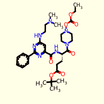 CCOC(=O)ON1CCN(C(=O)[C@H](CCC(=O)OC(C)(C)C)NC(=O)c2cc(NCCN(C)C)nc(-c3ccccc3)n2)CC1